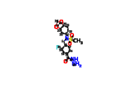 CS(=O)(=O)N(Cc1ccc(C(=O)NN)cc1F)c1ccc2c(c1)OCO2